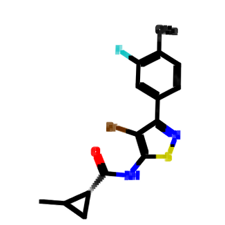 COc1ccc(-c2nsc(NC(=O)[C@@H]3CC3C)c2Br)cc1F